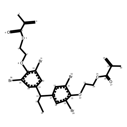 C=C(C)C(=O)OCCOc1c(Br)cc(C(CC)c2cc(Br)c(OCCOC(=O)C(=C)C)c(Br)c2)cc1Br